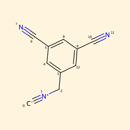 [C-]#[N+]Cc1cc(C#N)cc(C#N)c1